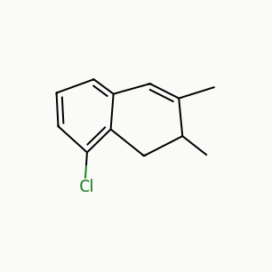 CC1=Cc2cccc(Cl)c2CC1C